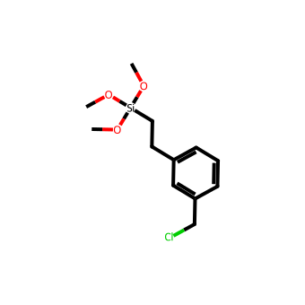 CO[Si](CCc1cccc(CCl)c1)(OC)OC